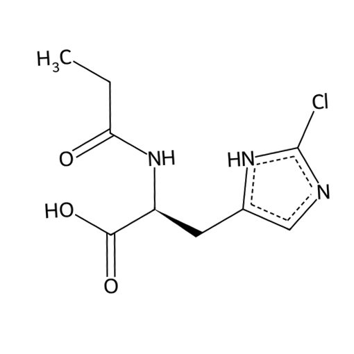 CCC(=O)N[C@@H](Cc1cnc(Cl)[nH]1)C(=O)O